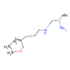 CCCCC(N)CNCCC[SiH]1CO[SiH2][SiH2][SiH2]1